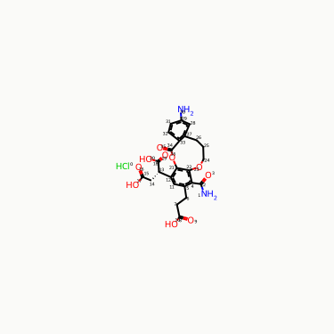 Cl.NC(=O)c1c(CCC(=O)O)cc([C@H](CC(=O)O)C(=O)O)c2c1OCCCc1cc(N)ccc1C(=O)O2